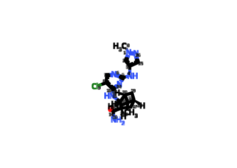 Cn1cc(Nc2ncc(Cl)c(N[C@H]3[C@@H](C(N)=O)C[C@H]4C[C@@H]3C4(C)C)n2)cn1